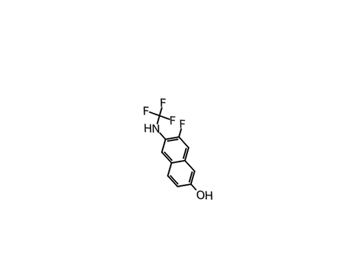 Oc1ccc2cc(NC(F)(F)F)c(F)cc2c1